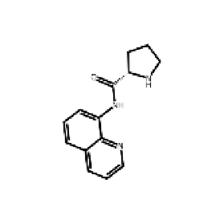 O=C(Nc1cccc2cccnc12)[C@@H]1CCCN1